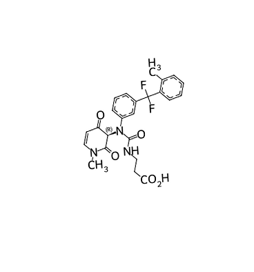 Cc1ccccc1C(F)(F)c1cccc(N(C(=O)NCCC(=O)O)[C@@H]2C(=O)C=CN(C)C2=O)c1